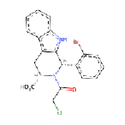 O=C(O)[C@@H]1Cc2c([nH]c3ccccc23)[C@H](c2ccccc2Br)N1C(=O)CCl